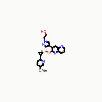 COc1ccc(C2C[C@@H]2COc2nc3cccnc3cc2-c2cnn(CCO)c2)nc1